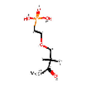 CCC(C)(COCCP(=O)(O)O)C(=O)OC